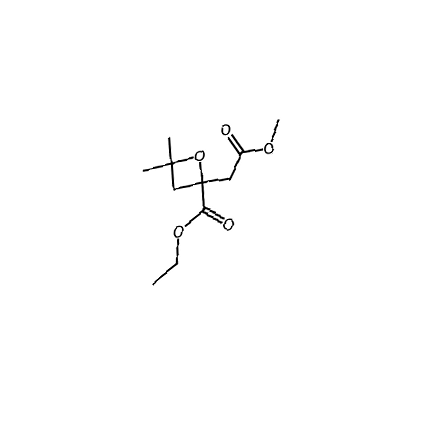 CCOC(=O)C1(CC(=O)OC)CC(C)(C)O1